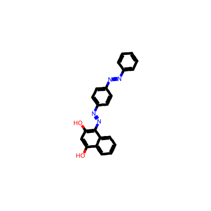 Oc1cc(O)c2ccccc2c1N=Nc1ccc(N=Nc2ccccc2)cc1